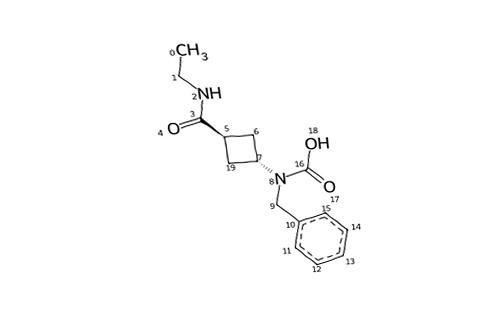 CCNC(=O)[C@H]1C[C@H](N(Cc2ccccc2)C(=O)O)C1